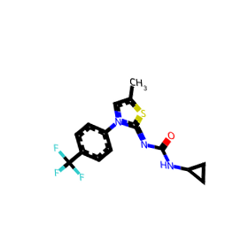 Cc1cn(-c2ccc(C(F)(F)F)cc2)c(=NC(=O)NC2CC2)s1